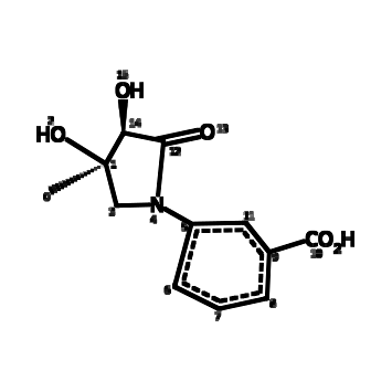 C[C@@]1(O)CN(c2cccc(C(=O)O)c2)C(=O)[C@@H]1O